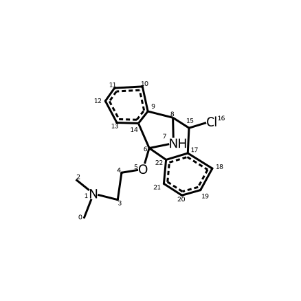 CN(C)CCOC12NC(c3ccccc31)C(Cl)c1ccccc12